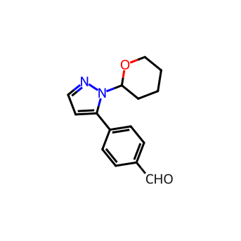 O=Cc1ccc(-c2ccnn2C2CCCCO2)cc1